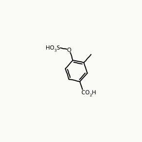 Cc1cc(C(=O)O)ccc1OS(=O)(=O)O